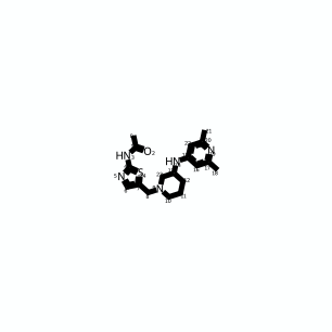 CC(=O)Nc1ncc(CN2CCCC(Nc3cc(C)nc(C)c3)C2)s1